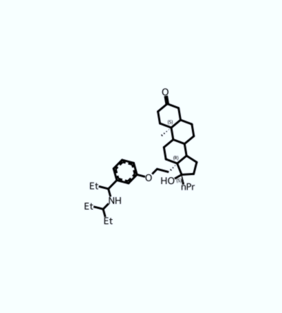 CCC[C@]1(O)CCC2C3CCC4CC(=O)CC[C@]4(C)C3CC[C@@]21CCOc1cccc(C(CC)NC(CC)CC)c1